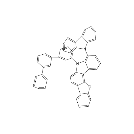 c1ccc(-c2cccc(-c3cccc(-n4c5ccc6c7ccccc7oc6c5c5cccc(-n6c7ccccc7c7ccccc76)c54)c3)c2)cc1